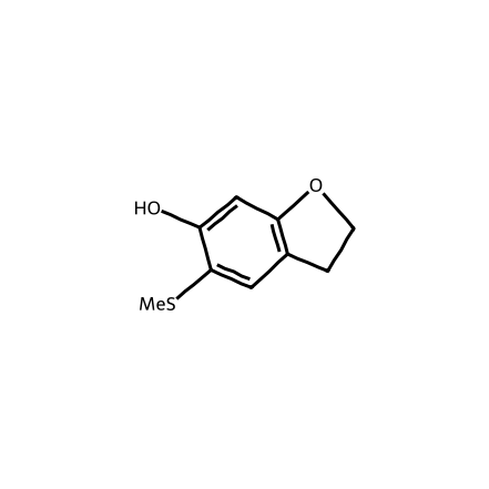 CSc1cc2c(cc1O)OCC2